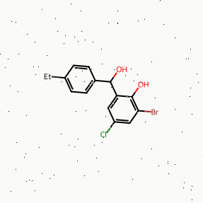 CCc1ccc(C(O)c2cc(Cl)cc(Br)c2O)cc1